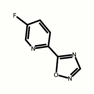 Fc1ccc(-c2ncno2)nc1